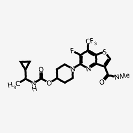 CNC(=O)c1csc2c(C(F)(F)F)c(F)c(N3CCC(OC(=O)NC(C)C4CC4)CC3)nc12